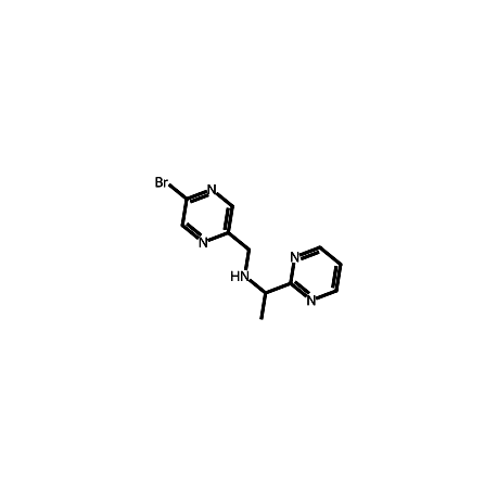 CC(NCc1cnc(Br)cn1)c1ncccn1